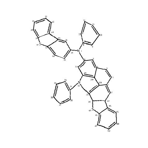 C1=c2ccc3cc(N(c4ccccc4)c4ccc5sc6ccccc6c5c4)cc4c3c2c(n4-c2ccccc2)C2Sc3ccccc3C12